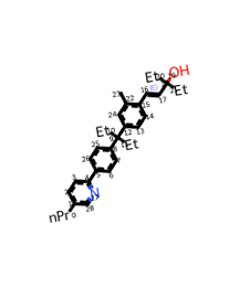 CCCc1ccc(-c2ccc(C(CC)(CC)c3ccc(/C=C/C(O)(CC)CC)c(C)c3)cc2)nc1